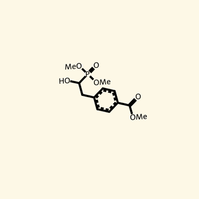 COC(=O)c1ccc(CC(O)P(=O)(OC)OC)cc1